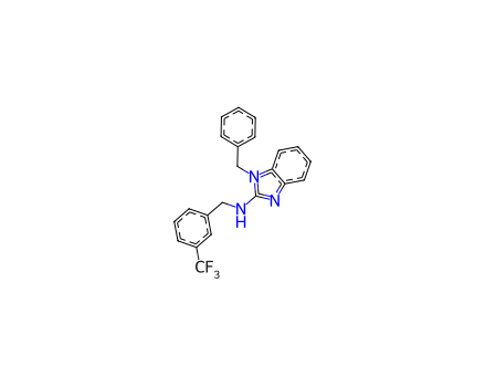 FC(F)(F)c1cccc(CNc2nc3ccccc3n2Cc2ccccc2)c1